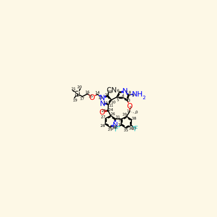 C[C@H]1Oc2cc(cnc2N)-c2c(nn(COCC[Si](C)(C)C)c2C#N)C(=O)c2cccnc2-c2c(F)cc(F)cc21